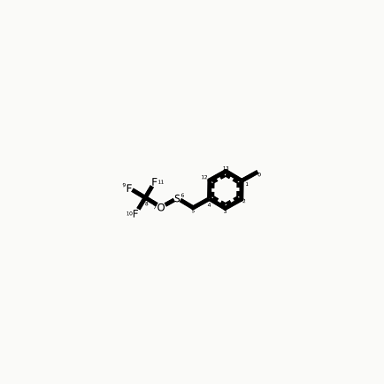 Cc1ccc(CSOC(F)(F)F)cc1